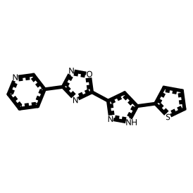 c1cncc(-c2noc(-c3cc(-c4cccs4)[nH]n3)n2)c1